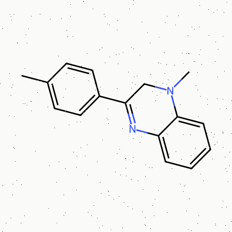 Cc1ccc(C2=Nc3ccccc3N(C)C2)cc1